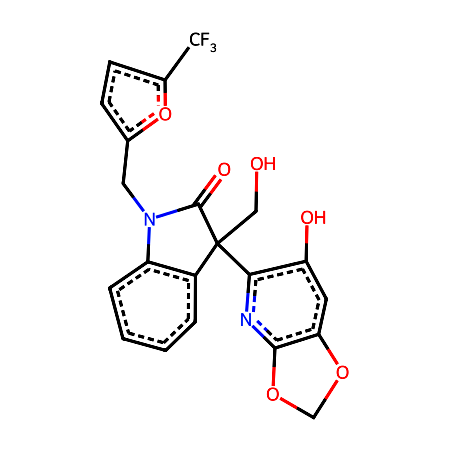 O=C1N(Cc2ccc(C(F)(F)F)o2)c2ccccc2C1(CO)c1nc2c(cc1O)OCO2